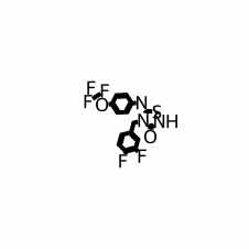 O=c1[nH]sc(=Nc2ccc(OC(F)(F)F)cc2)n1Cc1ccc(F)c(F)c1